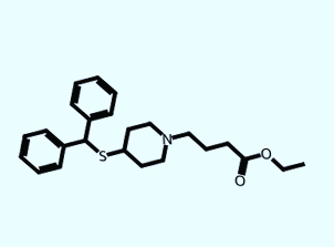 CCOC(=O)CCCN1CCC(SC(c2ccccc2)c2ccccc2)CC1